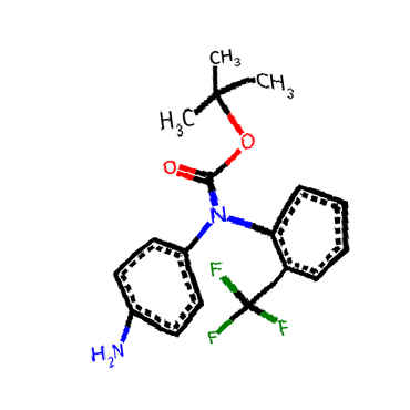 CC(C)(C)OC(=O)N(c1ccc(N)cc1)c1ccccc1C(F)(F)F